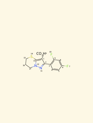 O=C(O)c1c(-c2ccc(F)cc2F)nn2c1SCCC2